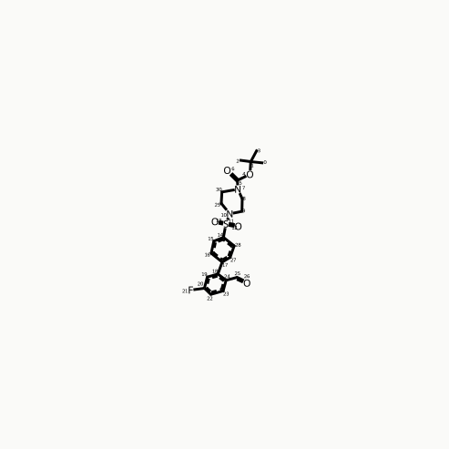 CC(C)(C)OC(=O)N1CCN(S(=O)(=O)c2ccc(-c3cc(F)ccc3C=O)cc2)CC1